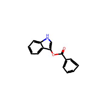 O=C(Oc1c[nH]c2ccccc12)c1ccccc1